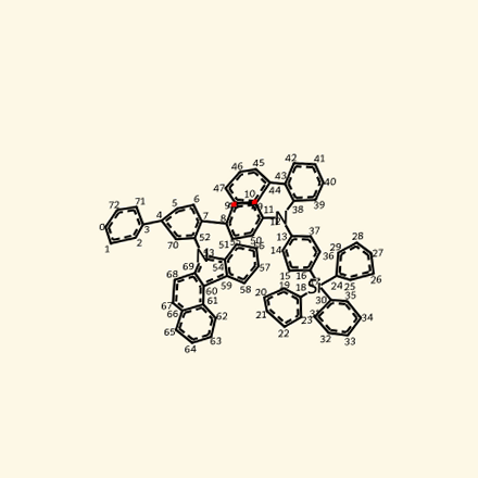 c1ccc(-c2ccc(-c3ccc(N(c4ccc([Si](c5ccccc5)(c5ccccc5)c5ccccc5)cc4)c4ccccc4-c4ccccc4)cc3)c(-n3c4ccccc4c4c5ccccc5ccc43)c2)cc1